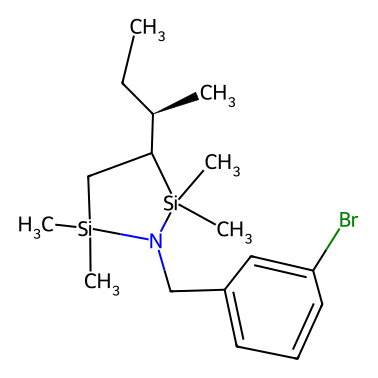 CC[C@@H](C)C1C[Si](C)(C)N(Cc2cccc(Br)c2)[Si]1(C)C